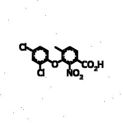 Cc1ccc(C(=O)O)c([N+](=O)[O-])c1Oc1ccc(Cl)cc1Cl